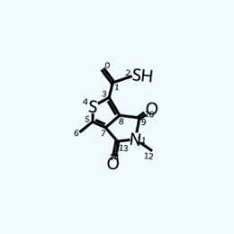 C=C(S)c1sc(C)c2c1C(=O)N(C)C2=O